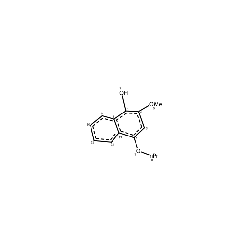 CCCOc1cc(OC)c(O)c2ccccc12